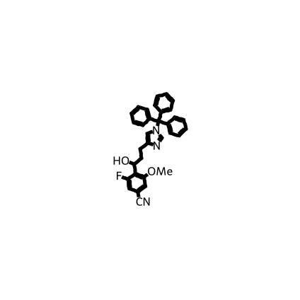 COc1cc(C#N)cc(F)c1C(O)CCc1cn(C(c2ccccc2)(c2ccccc2)c2ccccc2)cn1